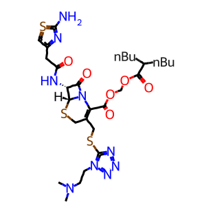 CCCCC(CCCC)C(=O)OCOC(=O)C1=C(CSc2nnnn2CCN(C)C)CS[C@@H]2[C@H](NC(=O)Cc3csc(N)n3)C(=O)N12